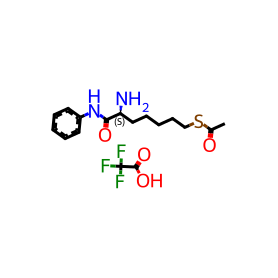 CC(=O)SCCCCC[C@H](N)C(=O)Nc1ccccc1.O=C(O)C(F)(F)F